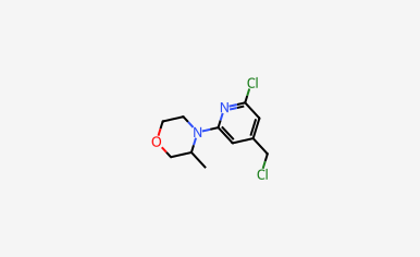 CC1COCCN1c1cc(CCl)cc(Cl)n1